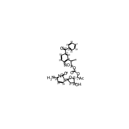 CC(=O)C(OC(=O)OCC(C)c1cc(C(=O)c2ccccc2)ccc1[N+](=O)[O-])[C@H]1O[C@@H](n2ccc(N)nc2=O)C[C@@H]1O